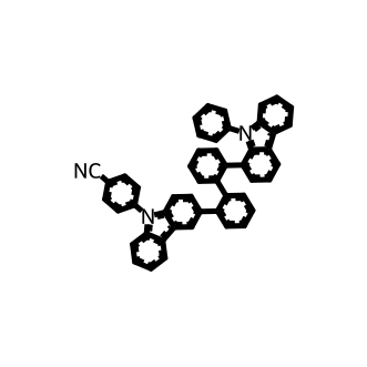 N#Cc1ccc(-n2c3ccccc3c3cc(-c4ccccc4-c4ccccc4-c4cccc5c6ccccc6n(-c6ccccc6)c45)ccc32)cc1